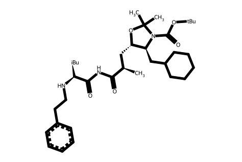 CC[C@H](C)[C@H](NCCc1ccccc1)C(=O)NC(=O)[C@H](C)C[C@@H]1OC(C)(C)N(C(=O)OC(C)(C)C)[C@H]1CC1CCCCC1